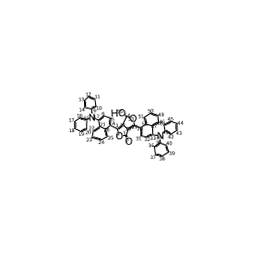 O=C1OC(c2ccc(N(c3ccccc3)c3ccccc3)c3ccccc23)=C2C1=C(c1ccc(N(c3ccccc3)c3ccccc3)c3ccccc13)OC2O